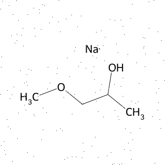 COCC(C)O.[Na]